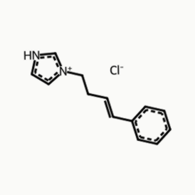 C(=Cc1ccccc1)CC[n+]1cc[nH]c1.[Cl-]